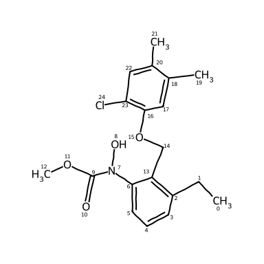 CCc1cccc(N(O)C(=O)OC)c1COc1cc(C)c(C)cc1Cl